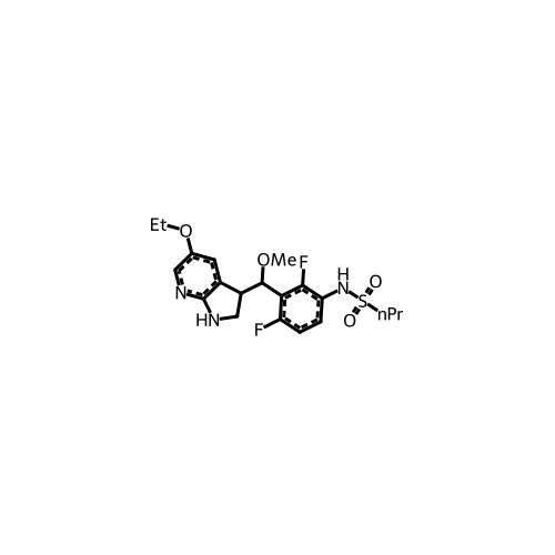 CCCS(=O)(=O)Nc1ccc(F)c(C(OC)C2CNc3ncc(OCC)cc32)c1F